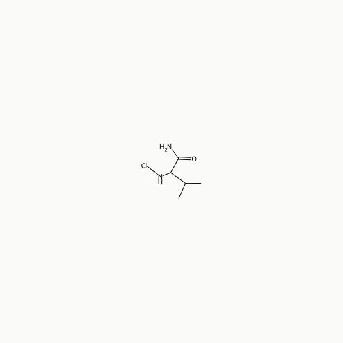 CC(C)C(NCl)C(N)=O